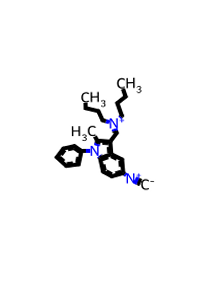 [C-]#[N+]c1ccc2c(c1)c(C=[N+](CCCC)CCCC)c(C)n2-c1ccccc1